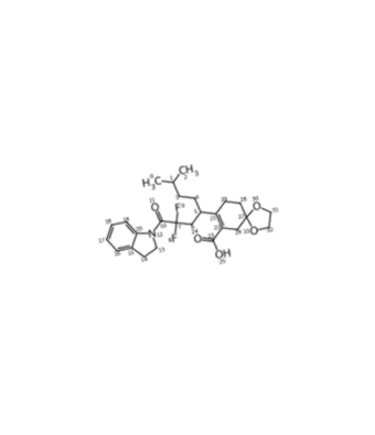 CC(C)CCC(CC(F)(F)C(=O)N1CCc2ccccc21)C1=C(C(=O)O)CC2(CC1)OCCO2